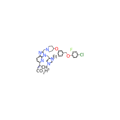 CCn1cncc1Cn1c(CN2CCC(Oc3cccc(COc4ccc(Cl)cc4F)c3)CC2)nc2ccc(/C(C)=C/C(=O)O)nc21